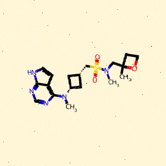 CN(CC1(C)CCO1)S(=O)(=O)C[C@H]1C[C@@H](N(C)c2ncnc3[nH]ccc23)C1